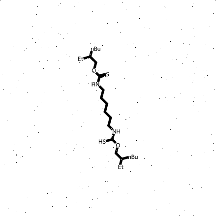 CCCCC(CC)COC(=S)NCCCCCCNC(S)OCC(CC)CCCC